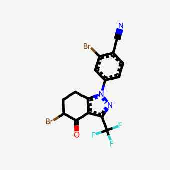 N#Cc1ccc(-n2nc(C(F)(F)F)c3c2CCC(Br)C3=O)cc1Br